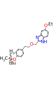 CCOc1ccc2[nH]c(COCCc3ccc(O[Si](C)(C)C(C)(C)C)cc3)nc2c1